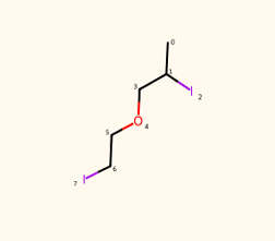 CC(I)COCCI